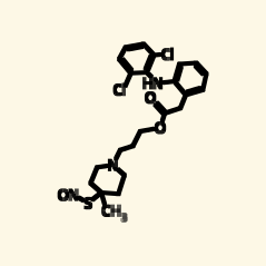 CC1(SN=O)CCN(CCCOC(=O)Cc2ccccc2Nc2c(Cl)cccc2Cl)CC1